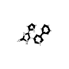 O=C1N[C@@H](c2cncc(-c3ccccc3)c2)[C@H](c2cccs2)O1